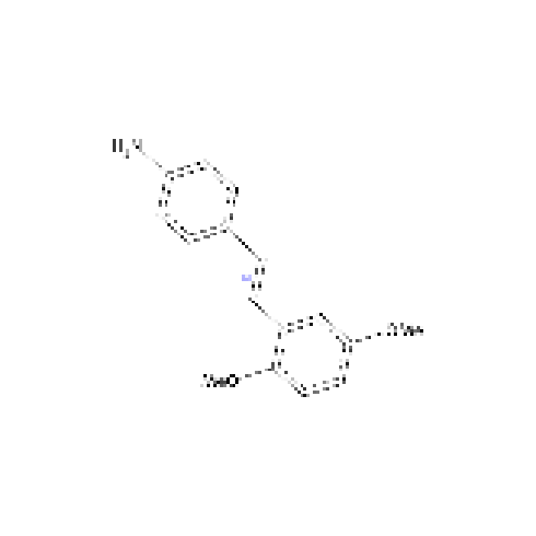 COc1ccc(OC)c(/C=C/c2ccc(N)cc2)c1